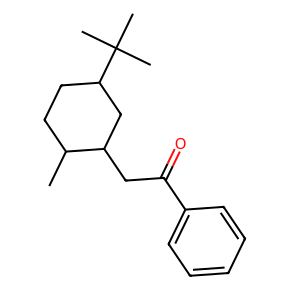 CC1CCC(C(C)(C)C)CC1CC(=O)c1ccccc1